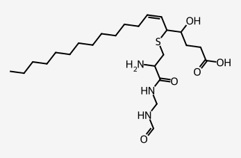 CCCCCCCCCCCC/C=C\C(SCC(N)C(=O)NCNC=O)C(O)CCC(=O)O